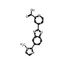 Cn1ccnc1-c1ccc2oc(-c3ccnc(C(=O)O)c3)nc2c1